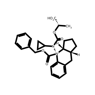 C[C@H](OC(=O)N(C1CC1)[N@@+]1(C(=O)OCc2ccccc2)c2ccccc2C[C@H]2CCC[C@H]21)C(=O)O